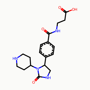 O=C(O)CCNC(=O)c1ccc(C2CNC(=O)N2C2CCNCC2)cc1